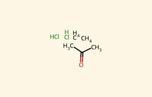 C.C.CC(C)=O.Cl.Cl